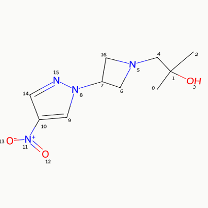 CC(C)(O)CN1CC(n2cc([N+](=O)[O-])cn2)C1